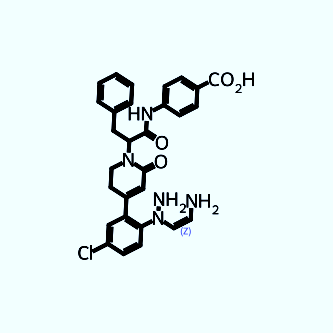 N/C=C\N(N)c1ccc(Cl)cc1C1=CC(=O)N(C(Cc2ccccc2)C(=O)Nc2ccc(C(=O)O)cc2)CC1